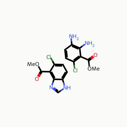 COC(=O)c1c(Cl)ccc(N)c1N.COC(=O)c1c(Cl)ccc2[nH]cnc12